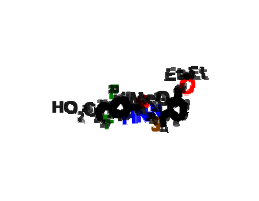 CCC(CC)OCc1cccc(-c2csc(NC(=O)c3cc(F)c(C=C(C)C(=O)O)c(F)c3)n2)c1OC